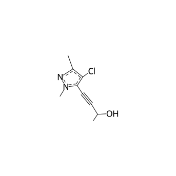 Cc1nn(C)c(C#CC(C)O)c1Cl